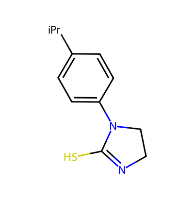 CC(C)c1ccc(N2CCN=C2S)cc1